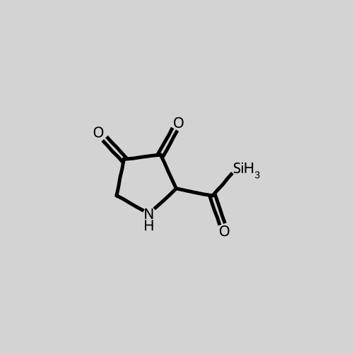 O=C1CNC(C(=O)[SiH3])C1=O